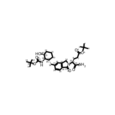 CC(C)(C)OC(=O)CC[C@@H](C(N)=O)N1Cc2cc(C[C@H]3CCC[C@H](O)[C@@H]3NC(=O)OC(C)(C)C)ccc2C1=O